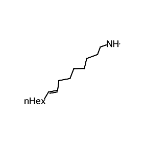 CCCCCCC=CCCCCCCC[NH]